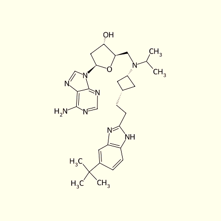 CC(C)N(C[C@H]1O[C@@H](n2cnc3c(N)ncnc32)C[C@@H]1O)[C@H]1C[C@@H](CCc2nc3cc(C(C)(C)C)ccc3[nH]2)C1